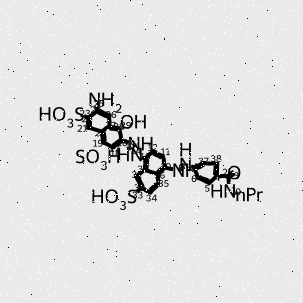 CCCNC(=O)c1ccc(NNc2ccc(NNc3c(S(=O)(=O)O)cc4cc(S(=O)(=O)O)c(N)cc4c3O)c3cc(S(=O)(=O)O)ccc23)cc1